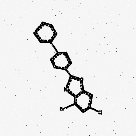 Clc1cc(Br)c2nc(-c3ccc(-c4ccccc4)cc3)oc2c1